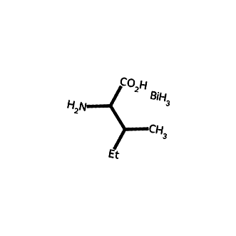 CCC(C)C(N)C(=O)O.[BiH3]